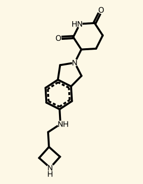 O=C1CCC(N2Cc3ccc(NCC4CNC4)cc3C2)C(=O)N1